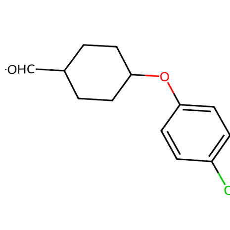 O=[C]C1CCC(Oc2ccc(Cl)cc2)CC1